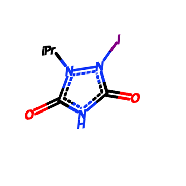 CC(C)n1c(=O)[nH]c(=O)n1I